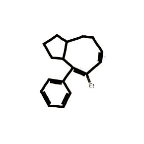 CCC1=C(\c2ccccc2)[C]2CCCC2CC/C=C\1